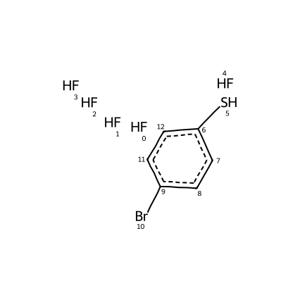 F.F.F.F.F.Sc1ccc(Br)cc1